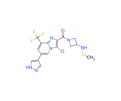 CSNC1CN(C(=O)c2nc3c(C(F)(F)F)cc(-c4cn[nH]c4)cn3c2Cl)C1